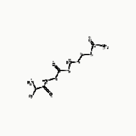 CC(C)C(N)C(=O)NCC(=O)CNCCCC(N)=O